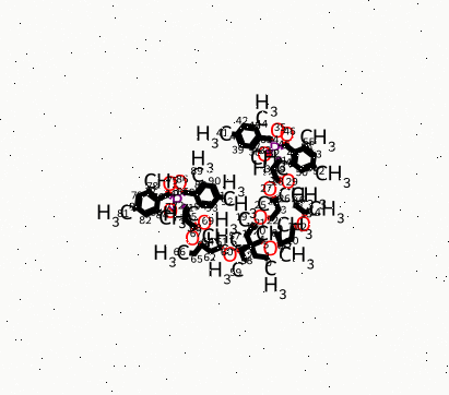 CCCC(COC(C)(CC)CCOC(C)CC)(CC(C)(C)OCCC(C)(C)OC(=O)CCP(=O)(C(=O)c1c(C)cc(C)cc1C)C(=O)c1c(C)cc(C)cc1C)C(C)(CC)OCCC(C)(CC)OC(=O)CCP(=O)(C(=O)c1c(C)cc(C)cc1C)C(=O)c1c(C)cc(C)cc1C